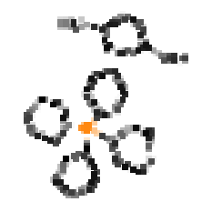 O=C(O)c1ccc(C(=O)O)cc1.c1ccc([PH](c2ccccc2)(c2ccccc2)c2ccccc2)cc1